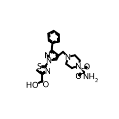 NS(=O)(=O)N1CCN(Cc2cn(-c3nc(C(=O)O)cs3)nc2-c2ccccc2)CC1